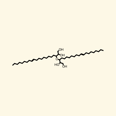 CCCCCCCCC=CCCCCCCCCC(OC(CCCCCCCCC=CCCCCCCCC)C(O)CO)C(O)CO